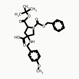 COc1ccc(CNC2(C(=O)O)CC(C(=O)OC(C)(C)C)N(C(=O)OCc3ccccc3)C2)cc1